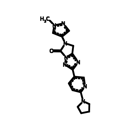 Cn1cc(N2Cc3nc(-c4ccc(N5CCCC5)nc4)nn3C2=O)cn1